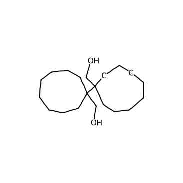 OCC1(C2(CO)CCCCCCCC2)CCCCCCCC1